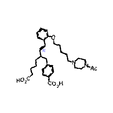 CC(=O)N1CCN(CCCCCOc2ccccc2/C=C/C(CCCCC(=O)O)Cc2ccc(C(=O)O)cc2)CC1